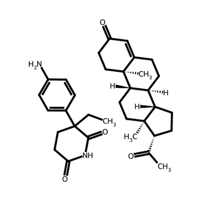 CC(=O)[C@H]1CC[C@H]2[C@@H]3CCC4=CC(=O)CC[C@]4(C)[C@H]3CC[C@]12C.CCC1(c2ccc(N)cc2)CCC(=O)NC1=O